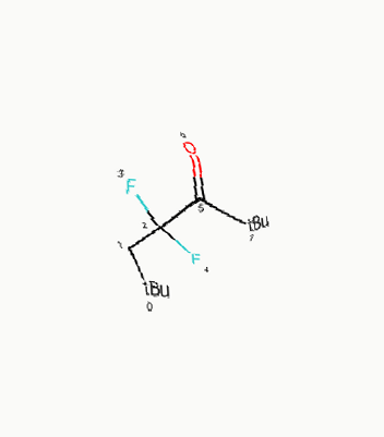 CC(C)(C)CC(F)(F)C(=O)C(C)(C)C